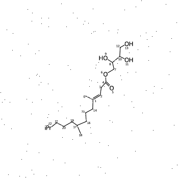 C/C(=C\CC(=O)OCC(O)C(O)CO)CCCC(C)CCCC(C)C